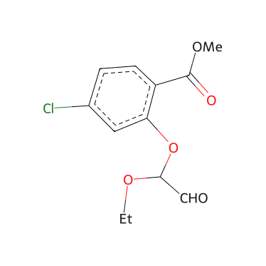 CCOC(C=O)Oc1cc(Cl)ccc1C(=O)OC